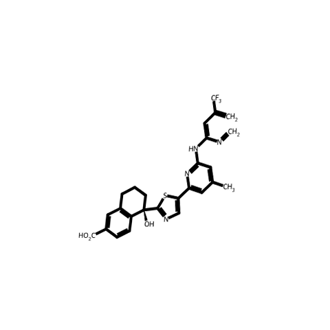 C=N/C(=C\C(=C)C(F)(F)F)Nc1cc(C)cc(-c2cnc([C@@]3(O)CCCc4cc(C(=O)O)ccc43)s2)n1